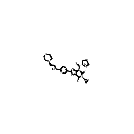 O=C([C@@H]1CCCN1)n1c(=O)n(C2CC2)c(=O)c2[nH]c(-c3ccc(NCCN4CCOCC4)nc3)nc21